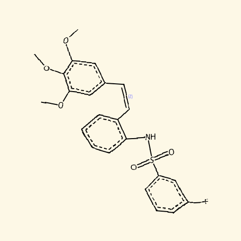 COc1cc(/C=C\c2ccccc2NS(=O)(=O)c2cccc(F)c2)cc(OC)c1OC